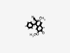 COC1C=C2C(=CN(C)C(C#N)=C2c2ccccc2)CC1=O